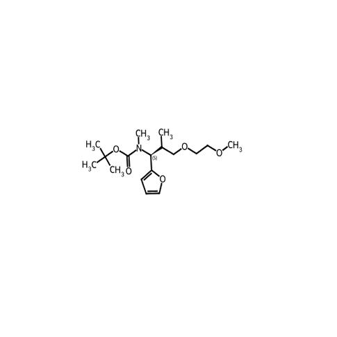 COCCOCC(C)[C@@H](c1ccco1)N(C)C(=O)OC(C)(C)C